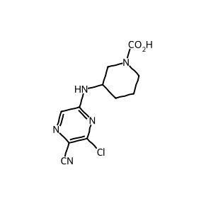 N#Cc1ncc(NC2CCCN(C(=O)O)C2)nc1Cl